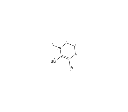 CC(C)C1=C(C(C)(C)C)N(C)CCC1